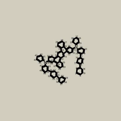 c1ccc(-c2ccc(-c3cccc(N(c4ccccc4)c4ccc5c(c4)c4ccccc4c4cc6c7ccc(N(c8ccccc8)c8cccc(-c9ccc(-c%10ccccc%10)cc9)c8)cc7c7ccccc7c6cc54)c3)cc2)cc1